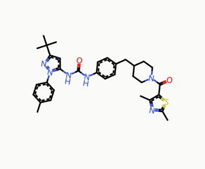 Cc1ccc(-n2nc(C(C)(C)C)cc2NC(=O)Nc2ccc(CC3CCN(C(=O)c4sc(C)nc4C)CC3)cc2)cc1